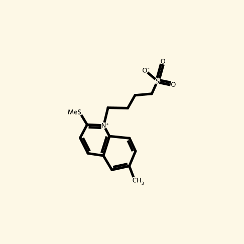 CSc1ccc2cc(C)ccc2[n+]1CCCCS(=O)(=O)[O-]